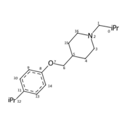 CC(C)CN1CCC(COc2ccc(C(C)C)cc2)CC1